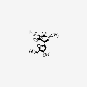 Cn1cc([C@H]2C[C@H](O)[C@@H](CO)O2)c(=O)n(C)c1=O